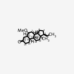 CC=C1CC[C@H]2[C@@H]3C[C@@H](OC)[C@@H]4CC(=O)CC[C@@H]4[C@H]3CC[C@]12C